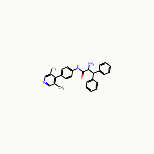 Cc1cncc(C)c1-c1ccc(NC(=O)C(N)C(c2ccccc2)c2ccccc2)cc1